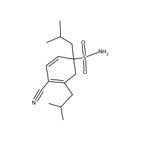 CC(C)CC1=C(C#N)C=CC(CC(C)C)(S(N)(=O)=O)C1